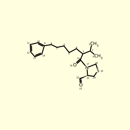 CC(C)C(CCCCCc1ccccc1)C(=O)N1CSC[C@H]1C=O